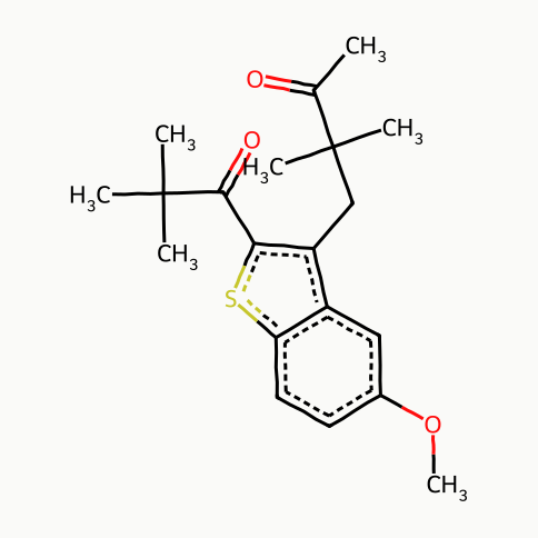 COc1ccc2sc(C(=O)C(C)(C)C)c(CC(C)(C)C(C)=O)c2c1